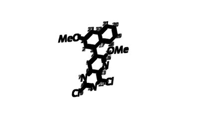 COc1cc(-c2cc3nc(Cl)nc(Cl)c3nc2OC)c2ccccc2c1